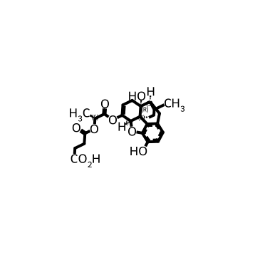 CC1CC[C@]23c4c5ccc(O)c4O[C@H]2C(OC(=O)[C@H](C)OC(=O)CCC(=O)O)=CC[C@@]3(O)[C@H]1C5